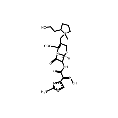 C[N+]1(CC2=C(C(=O)[O-])N3C(=O)C(NC(=O)C(=NO)c4csc(N)n4)[C@@H]3SC2)CCCC1CCO